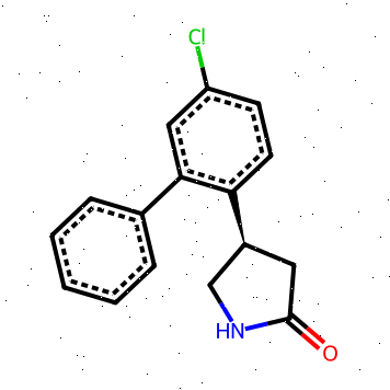 O=C1C[C@H](c2ccc(Cl)cc2-c2ccccc2)CN1